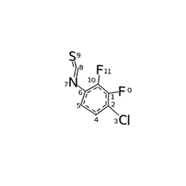 Fc1c(Cl)ccc(N=C=S)c1F